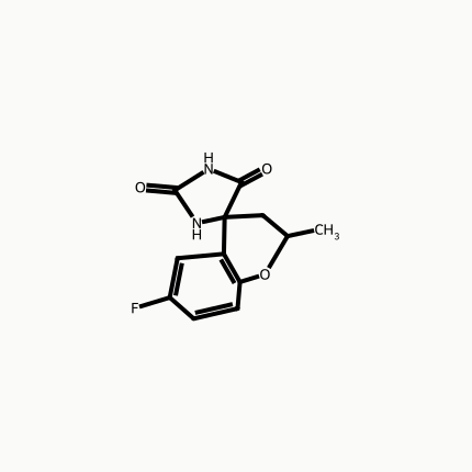 CC1CC2(NC(=O)NC2=O)c2cc(F)ccc2O1